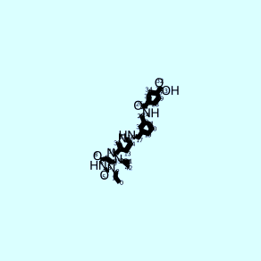 CCCn1c(=O)[nH]c(=O)c2nc(-c3ccc(NCc4cccc(CNC(=O)c5ccc(C(=O)O)cc5)c4)nc3)n(C3CC3)c21